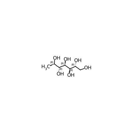 C[C@@H](O)[C@@H](O)[C@@H](O)[C@H](O)[C@H](O)CO